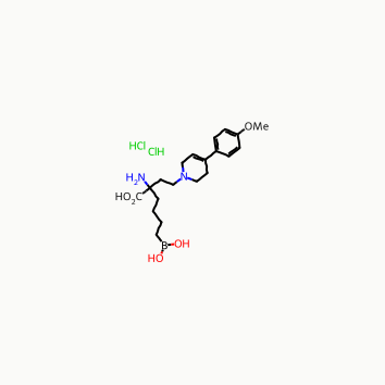 COc1ccc(C2=CCN(CCC(N)(CCCCB(O)O)C(=O)O)CC2)cc1.Cl.Cl